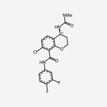 CNC(=O)N[C@H]1CCOc2c1ccc(Cl)c2C(=O)Nc1ccc(F)c(F)c1